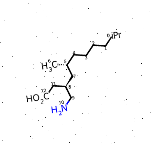 CC(C)CCCC[C@@H](C)C[C@@H](CN)CC(=O)O